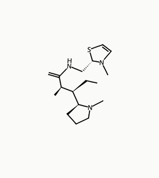 C=C(NC[C@@H]1SC=CN1C)[C@H](C)[C@@H](CC)[C@@H]1CCCN1C